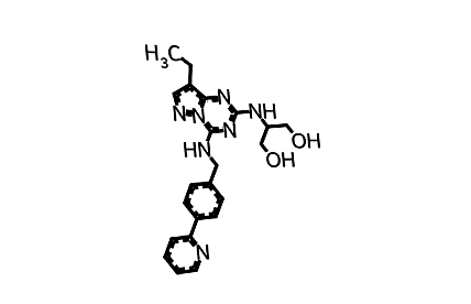 CCc1cnn2c(NCc3ccc(-c4ccccn4)cc3)nc(NC(CO)CO)nc12